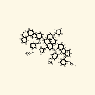 CCc1cccc(Nc2c(-c3cc4c(C5CCCC5)cc(N(c5cccc(CC)c5)c5cccc6c5oc5c(-c7ccccc7CC)cccc56)c5ccc6c(C7CCCC7)ccc3c6c45)ccc3c2oc2c(-c4ccccc4CC)cccc23)c1